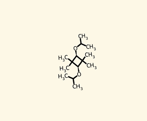 CC(C)O[C@H]1C(C)(C)[C@@H](OC(C)C)C1(C)C